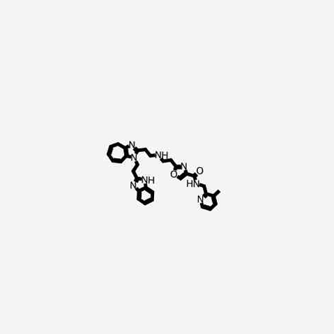 Cc1cccnc1CNC(=O)c1coc(CCNCCc2nc3c(n2CCc2nc4ccccc4[nH]2)C=CC=CC3)n1